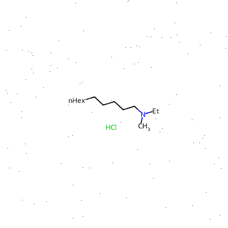 CCCCCCCCCCCN(C)CC.Cl